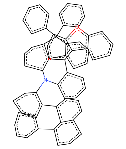 c1ccc(-c2cccc3cccc(-c4ccccc4N(c4ccccc4-c4cccc5oc6ccccc6c45)c4cccc5c4-c4ccccc4C5(c4ccccc4)c4ccccc4)c23)cc1